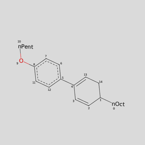 CCCCCCCCC1C=CC(c2ccc(OCCCCC)cc2)=CC1